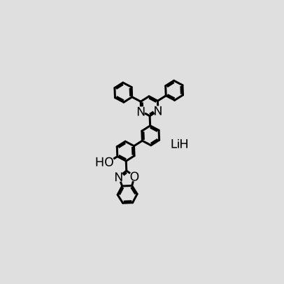 Oc1ccc(-c2cccc(-c3nc(-c4ccccc4)cc(-c4ccccc4)n3)c2)cc1-c1nc2ccccc2o1.[LiH]